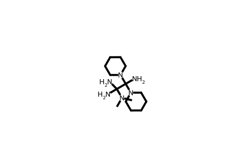 CN(C)C(N)(N)C(N)(N1CCCCC1)N1CCCCC1